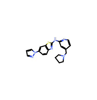 c1cnn(-c2ccc3nc(Nc4cc(CN5CCCC5)ccn4)sc3c2)c1